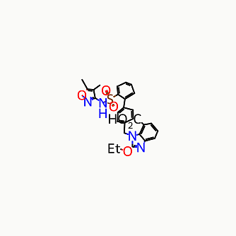 CCOc1nc2cccc(C(=O)O)c2n1Cc1ccc(-c2ccccc2S(=O)(=O)Nc2noc(C)c2C)cc1